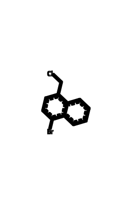 ClCc1ccc(Br)c2ccccc12